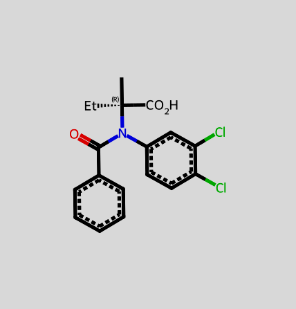 CC[C@](C)(C(=O)O)N(C(=O)c1ccccc1)c1ccc(Cl)c(Cl)c1